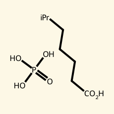 CC(C)CCCCC(=O)O.O=P(O)(O)O